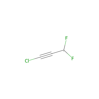 F[C](F)C#CCl